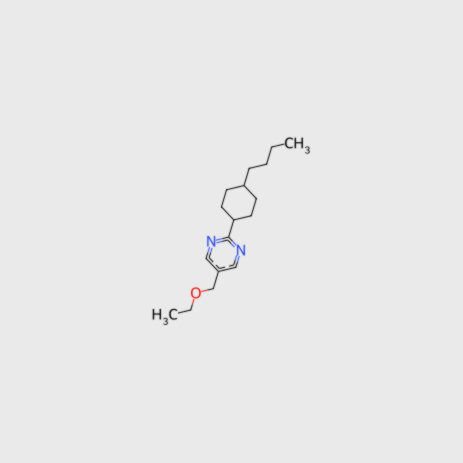 CCCCC1CCC(c2ncc(COCC)cn2)CC1